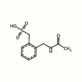 CC(=O)NCc1ccccc1CS(=O)(=O)O